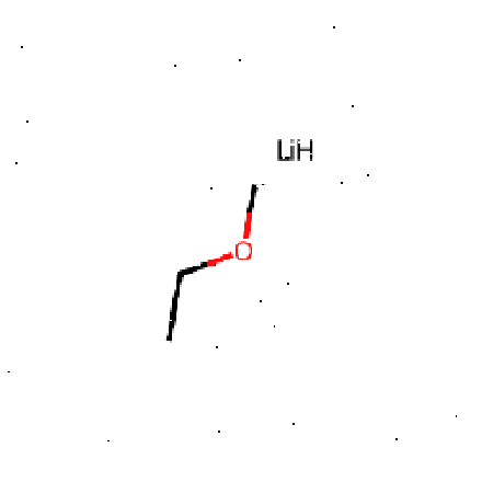 [CH2]OCC.[LiH]